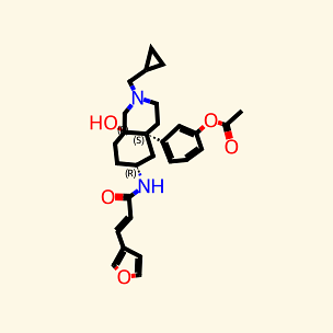 CC(=O)Oc1cccc([C@@]23CCN(CC4CC4)C[C@@]2(O)CC[C@@H](NC(=O)C=Cc2ccoc2)C3)c1